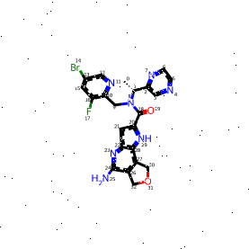 C[C@H](c1cnccn1)N(Cc1ncc(Br)cc1F)C(=O)c1cc2nc(N)c3c(c2[nH]1)COC3